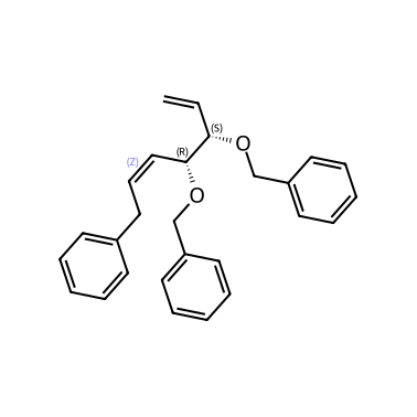 C=C[C@H](OCc1ccccc1)[C@@H](/C=C\Cc1ccccc1)OCc1ccccc1